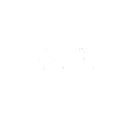 CCC(CSSCC(CC)[Si](OC)(OC)OC)[Si](OC)(OC)OC